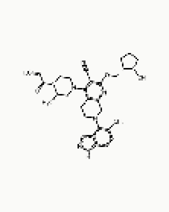 C=CC(=O)N1CCN(c2c(C#N)c(OC[C@@H]3CCCN3C)nc3c2CCN(c2c(C)ccc4[nH]ncc24)C3)C[C@H]1C